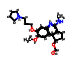 CNc1nc2cc(OCCCN3CCCC3)c(OC)cc2c2c1CCC2OC=O